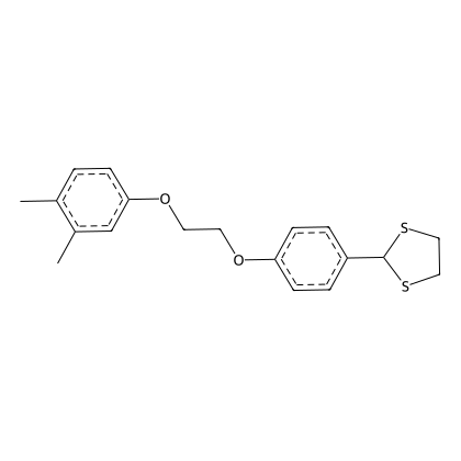 Cc1ccc(OCCOc2ccc(C3SCCS3)cc2)cc1C